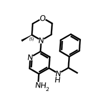 CC(Nc1cc(N2CCOC[C@@H]2C)ncc1N)c1ccccc1